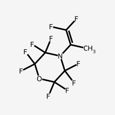 CC(=C(F)F)N1C(F)(F)C(F)(F)OC(F)(F)C1(F)F